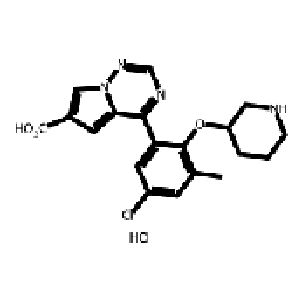 Cc1cc(Cl)cc(-c2ncnn3cc(C(=O)O)cc23)c1OC1CCCNC1.Cl